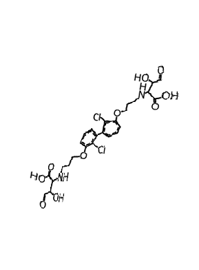 O=CC(O)C(NCCCOc1cccc(-c2cccc(OCCCNC(C(=O)O)C(O)C=O)c2Cl)c1Cl)C(=O)O